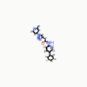 Cc1cc(-n2cc(CC(=O)Nc3ccc(-c4ccccc4)cn3)nn2)ccn1